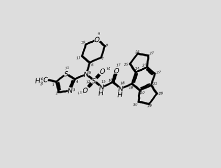 Cc1cnc(N(C2CCOCC2)S(=O)(=O)NC(=O)Nc2c3c(cc4c2CCC4)CCC3)s1